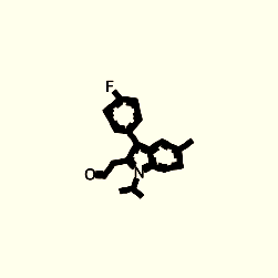 Cc1ccc2c(c1)c(-c1ccc(F)cc1)c(CC=O)n2C(C)C